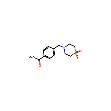 COC(=O)c1ccc(CN2CCS(=O)(=O)CC2)cc1